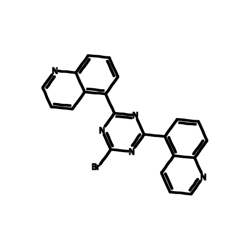 Brc1nc(-c2cccc3ncccc23)nc(-c2cccc3ncccc23)n1